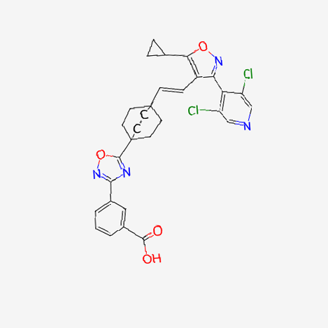 O=C(O)c1cccc(-c2noc(C34CCC(/C=C/c5c(-c6c(Cl)cncc6Cl)noc5C5CC5)(CC3)CC4)n2)c1